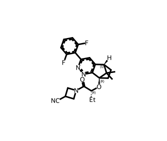 CC[C@@H](O[C@@]12CC[C@@H](c3cc(-c4c(F)cccc4F)nnc31)C2(C)C)C(=O)N1CC(C#N)C1